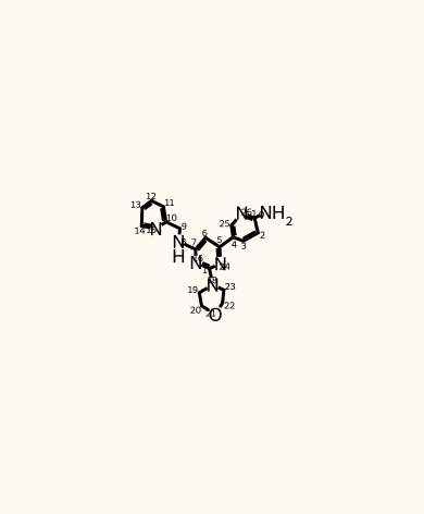 Nc1ccc(-c2cc(NCc3ccccn3)nc(N3CCOCC3)n2)cn1